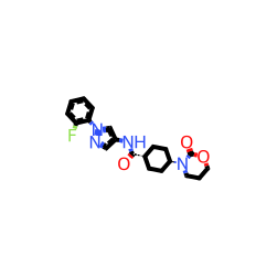 O=C1OCCCN1[C@H]1CC[C@@H](C(=O)Nc2cnn(-c3ccccc3F)c2)CC1